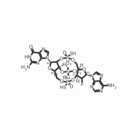 CC(C)(C)[Si](C)(C)O[C@@H]1C2OP(=O)(S)OC[C@H]3O[C@@H](n4cnc5c(N)ncnc54)C(F)[C@H]3OP(=O)(S)OC[C@H]1O[C@H]2n1cnc2c(=O)[nH]c(N)nc21